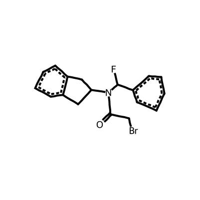 O=C(CBr)N(C1Cc2ccccc2C1)C(F)c1ccccc1